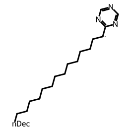 CCCCCCCCCCCCCCCCCCCCCCC[CH]c1ncncn1